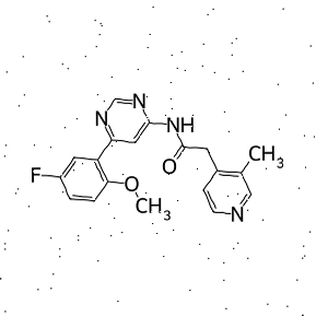 COc1ccc(F)cc1-c1cc(NC(=O)Cc2ccncc2C)ncn1